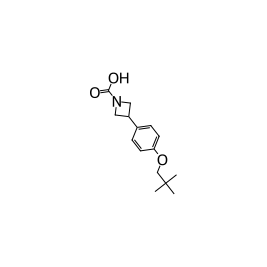 CC(C)(C)COc1ccc(C2CN(C(=O)O)C2)cc1